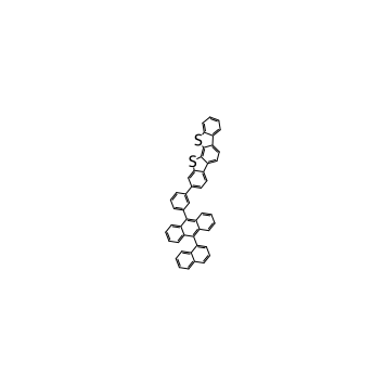 c1cc(-c2ccc3c(c2)sc2c3ccc3c4ccccc4sc32)cc(-c2c3ccccc3c(-c3cccc4ccccc34)c3ccccc23)c1